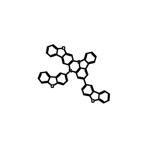 c1ccc2c(c1)B1c3cc4oc5ccccc5c4cc3N(c3ccc4oc5ccccc5c4c3)c3cc(-c4ccc5oc6ccccc6c5c4)cc-2c31